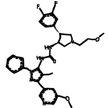 COCCN1C[C@@H](NC(=O)Nc2c(C)c(-c3cncc(OC)c3)nn2-c2ccccc2)[C@H](c2ccc(F)c(F)c2)C1